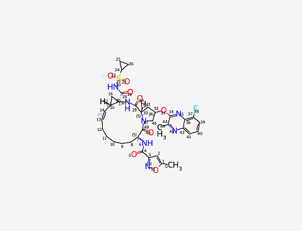 Cc1cc(C(=O)N[C@H]2CCCCC/C=C\[C@@H]3C[C@@]3(C(=O)NS(=O)(=O)C3CC3)NC(=O)[C@@H]3C[C@@H](Oc4nc5c(F)cccc5nc4C)CN3C2=O)no1